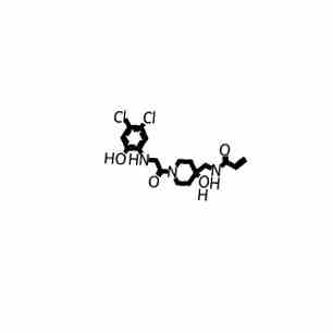 C=CC(=O)NCC1(O)CCN(C(=O)CNc2cc(Cl)c(Cl)cc2O)CC1